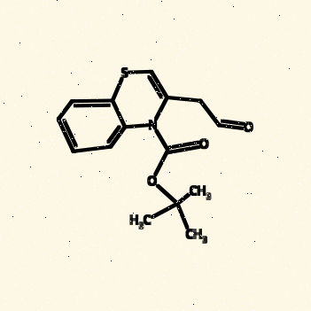 CC(C)(C)OC(=O)N1C(CC=O)=CSc2ccccc21